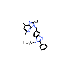 CCc1nc2c(C)cc(C)nc2n1Cc1ccc2c(c1)nc(-c1ccccc1)n2CC(=O)O